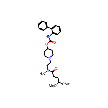 COC(CCC(=O)N(C)CCN1CCC(OC(=O)Nc2ccccc2-c2ccccc2)CC1)OC